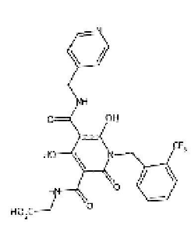 O=C(O)CNC(=O)c1c(O)c(C(=O)NCc2ccncc2)c(O)n(Cc2ccccc2C(F)(F)F)c1=O